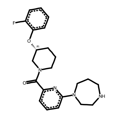 O=C(c1cccc(N2CCCNCC2)n1)N1CCC[C@@H](Oc2ccccc2F)C1